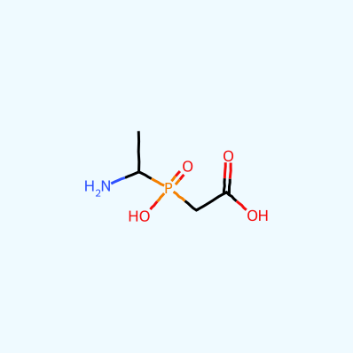 CC(N)P(=O)(O)CC(=O)O